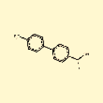 C[C@@H](O)c1ccc(-c2ccc(C(F)(F)F)cc2)cc1